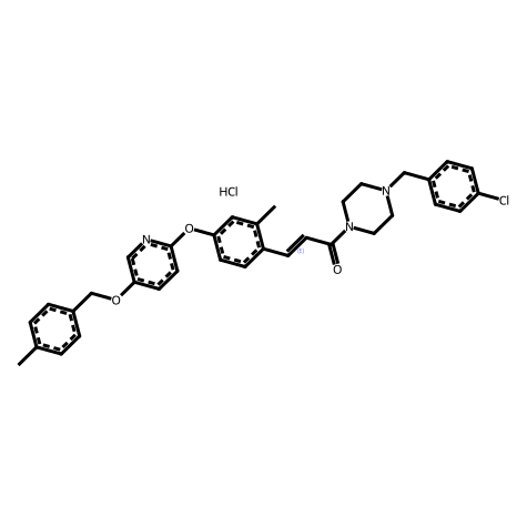 Cc1ccc(COc2ccc(Oc3ccc(/C=C/C(=O)N4CCN(Cc5ccc(Cl)cc5)CC4)c(C)c3)nc2)cc1.Cl